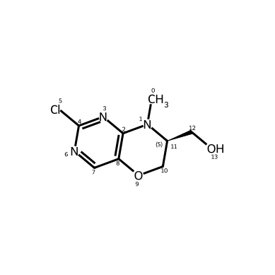 CN1c2nc(Cl)ncc2OC[C@@H]1CO